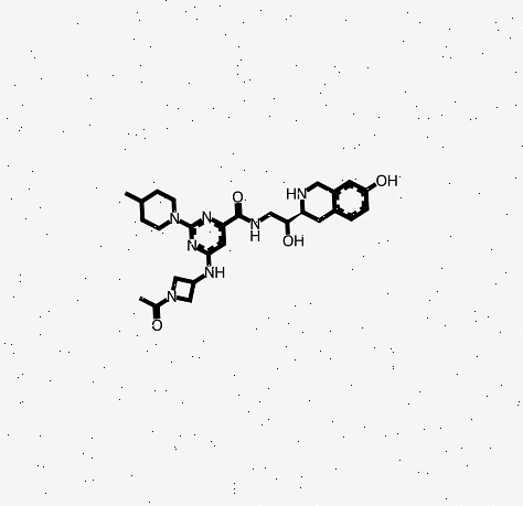 CC(=O)N1CC(Nc2cc(C(=O)NCC(O)[C@@H]3Cc4ccc(O)cc4CN3)nc(N3CCC(C)CC3)n2)C1